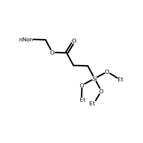 CCCCCCCCCCOC(=O)CC[Si](OCC)(OCC)OCC